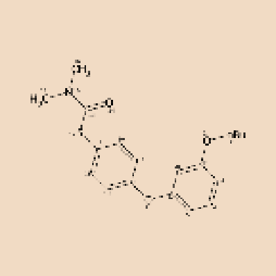 CCCCOc1cccc(Oc2ccc(SC(=O)N(C)C)cc2)c1